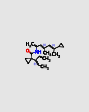 C=C/C(=C\C)C1(C(=O)NC(=C)/C=C(C)/C=C(\C)C2CC2)CC1